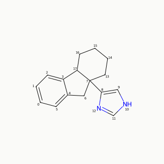 c1ccc2c(c1)CC1(c3c[nH]cn3)CCCCC21